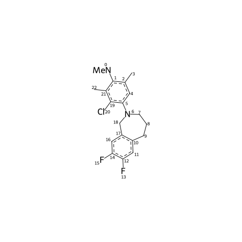 CNc1c(C)cc(N2CCCc3cc(F)c(F)cc3C2)c(Cl)c1C